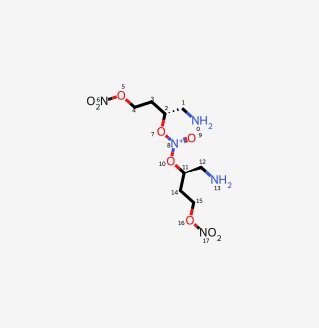 NC[C@@H](CCO[N+](=O)[O-])O[N+](=O)O[C@@H](CN)CCO[N+](=O)[O-]